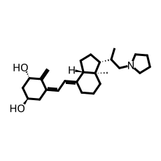 C=C1C(=CC=C2CCC[C@]3(C)[C@@H](C(C)CN4CCCC4)CC[C@@H]23)C[C@@H](O)C[C@@H]1O